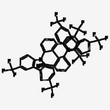 N#Cc1cccc(-n2c3ccc(C(F)(F)F)cc3c3cc(C(F)(F)F)ccc32)c1-c1c(-c2cc(C(F)(F)F)cc(C(F)(F)F)c2)cccc1-n1c2ccc(C(F)(F)F)cc2c2cc(C(F)(F)F)ccc21